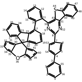 c1ccc(-c2ccc(-c3nc(-c4ccccc4-c4cccc5c4-c4ccccc4C54c5ccccc5Oc5ccccc54)c4sc5ccccc5c4n3)cc2)cc1